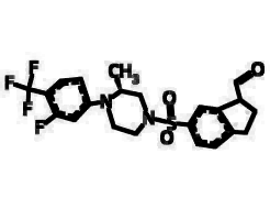 C[C@H]1CN(S(=O)(=O)c2ccc3c(c2)C(C=O)CC3)CCN1c1ccc(C(F)(F)F)c(F)c1